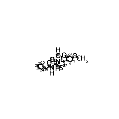 COc1ccc(C2=C(C(=O)O)N3C(=O)C(NC(=O)Cc4ccccc4)[C@@H]3SC2)cc1